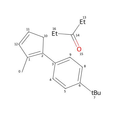 CC1=C(c2ccc(C(C)(C)C)cc2)CC=C1.CCC(=O)CC